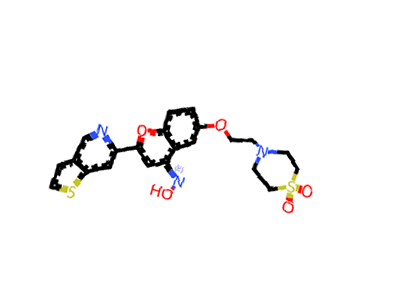 O=S1(=O)CCN(CCOc2ccc3oc(-c4cc5sccc5cn4)c/c(=N\O)c3c2)CC1